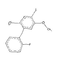 COc1cc(-c2ccccc2F)c(Cl)cc1I